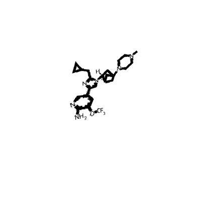 CN1CCN(C23CC(C2)[C@@H](n2cc(-c4cnc(N)c(OC(F)(F)F)c4)nc2CC2CC2)C3)CC1